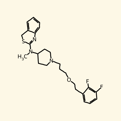 CN(C1=Nc2ccccc2CS1)C1CCN(CCCOCCc2cccc(F)c2F)CC1